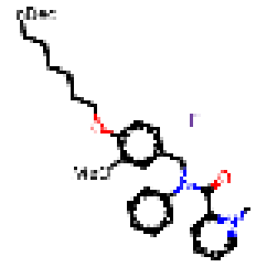 CCCCCCCCCCCCCCCCOc1ccc(CN(C(=O)c2cccc[n+]2C)c2ccccc2)cc1OC.[I-]